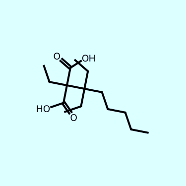 CCCCCC(CC)(CC)C(CC)(C(=O)O)C(=O)O